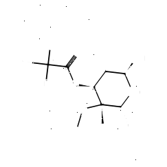 CO[C@]1(C)[C@@H](NC(=O)C(F)(F)F)C[C@@H](O)O[C@@H]1C